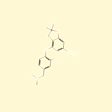 CN(C)Cc1ccc(Oc2cc(C(=O)O)cc3c2CC(C)(C)O3)c(F)c1